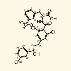 CS(=O)(=O)c1cccc(C[C@H](NC(=O)c2c(Cl)cc(CCC(O)c3cccc(Cl)c3)cc2Cl)C(=O)O)c1